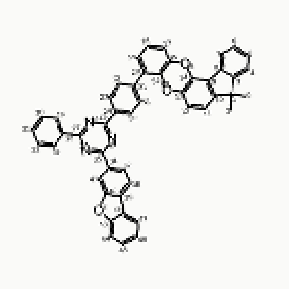 CC1(C)c2ccccc2-c2c1ccc1c2Oc2cccc(-c3ccc(-c4nc(-c5ccccc5)nc(-c5ccc6c(c5)oc5ccccc56)n4)cc3)c2O1